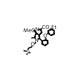 CCOC(=O)c1cc2c(-c3ccccc3Oc3ccccc3)n(COCC[Si](C)(C)C)c(C)c2c(OC)n1